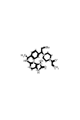 C=CC(=O)N1CCN(C(CC(C)(C)C)c2ccc([C@H](C)Nc3ncc4[nH]c(=O)n(CC)c4n3)cc2)CC1